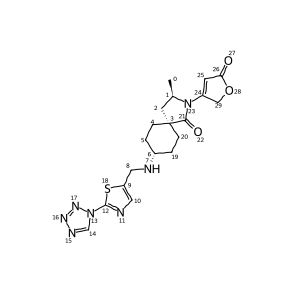 C[C@@H]1C[C@]2(CC[C@@H](NCc3cnc(-n4cnnn4)s3)CC2)C(=O)N1C1=CC(=O)OC1